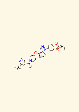 Cc1cncc(C(=O)N2CCC(Oc3ncnc4c3cnn4-c3ccc(S(C)(=O)=O)cc3)CC2)c1